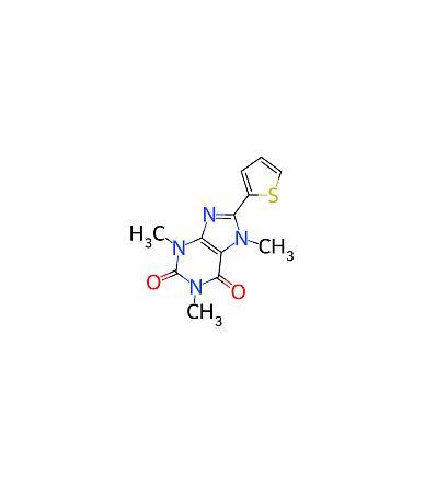 Cn1c(=O)c2c(nc(-c3cccs3)n2C)n(C)c1=O